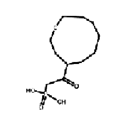 O=C(CP(=O)(O)O)C1CCCCCCCCC1